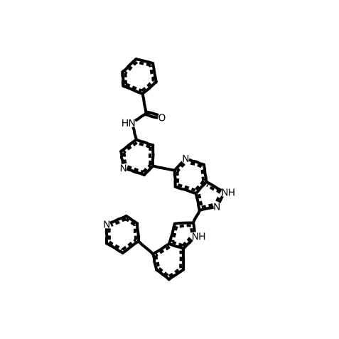 O=C(Nc1cncc(-c2cc3c(-c4cc5c(-c6ccncc6)cccc5[nH]4)n[nH]c3cn2)c1)c1ccccc1